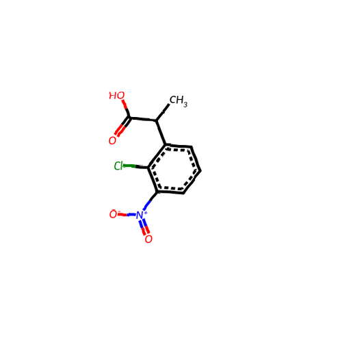 CC(C(=O)O)c1cccc([N+](=O)[O-])c1Cl